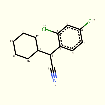 N#CC(c1ccc(Cl)cc1Cl)C1CCCCC1